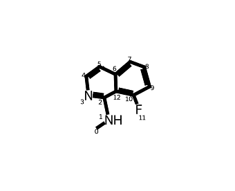 CNc1nc[c]c2cccc(F)c12